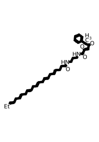 CCC=CCC=CCC=CCC=CCC=CCC=CCCC(=O)NCCCNC(=O)C1=CC(=O)C(C)(c2ccccc2)O1